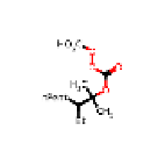 CCCCCC(CC)C(C)(C)OC(=O)OOC(=O)O